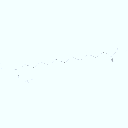 CCCCCCCCC(CCCCCCCC)CCCCCCCCCC[CH2][Sn](=[O])[C](=O)O